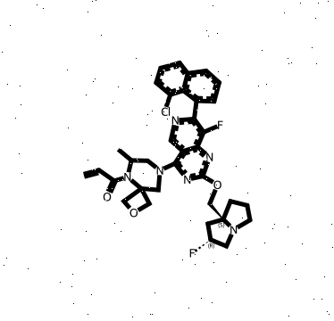 C=CC(=O)N1C(C)CN(c2nc(OC[C@@]34CCCN3C[C@H](F)C4)nc3c(F)c(-c4cccc5cccc(Cl)c45)ncc23)CC12COC2